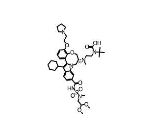 COC(CN(C)S(=O)(=O)NC(=O)c1ccc2c(C3CCCCC3)c3n(c2c1)C[C@@H](N(C)CCN(C(=O)O)C(C)(C)C)COc1c(OCCN2CCCC2)cccc1-3)OC